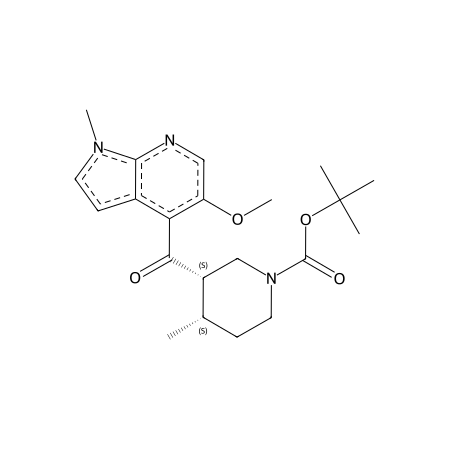 COc1cnc2c(ccn2C)c1C(=O)[C@@H]1CN(C(=O)OC(C)(C)C)CC[C@@H]1C